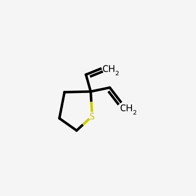 C=CC1(C=C)CCCS1